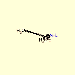 C=C(CCCCCCCCCCCCCCCC)c1ccc(N)cc1CC